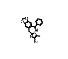 Cc1c(Br)nc2n1N=C(c1ccccc1)c1cc3c(cc1C2)OCO3